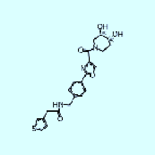 O=C(Cc1ccsc1)NCc1ccc(-c2nc(C(=O)N3CC[C@@H](O)[C@H](O)C3)co2)cc1